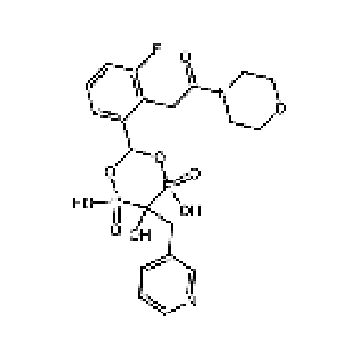 O=C(Cc1c(F)cccc1C1OP(=O)(O)C(O)(Cc2cccnc2)P(=O)(O)O1)N1CCOCC1